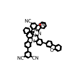 N#Cc1cc(C#N)cc(-c2ccc3c4ccc(-c5cc(C#N)cc(C#N)c5)cc4n(-c4ccc(-c5ccc6c(c5)oc5ccccc56)cc4-c4nc(-c5ccccc5)nc(-c5ccccc5)n4)c3c2)c1